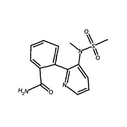 CN(c1cccnc1-c1ccccc1C(N)=O)S(C)(=O)=O